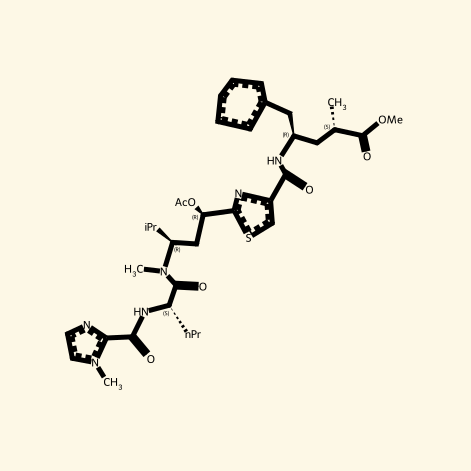 CCC[C@H](NC(=O)c1nccn1C)C(=O)N(C)[C@H](C[C@@H](OC(C)=O)c1nc(C(=O)N[C@@H](Cc2ccccc2)C[C@H](C)C(=O)OC)cs1)C(C)C